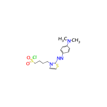 CN(C)c1ccc(/N=N/c2scc[n+]2CCCCS(=O)(=O)Cl)cc1